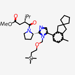 COC(=O)C[C@H](C(=O)N1CCC[C@H]1c1ncc(-c2ccc(C)c3c2CC2(CCCC2)C3)n1COCC[Si](C)(C)C)C(C)C